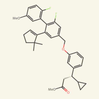 COC(=O)C[C@H](c1cccc(OCc2cc(F)c(-c3cc(OC)ccc3F)c(C3=CCCC3(C)C)c2)c1)C1CC1